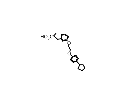 CC(Cc1cccc(OCCOc2ccc(C3CCCC3)cc2)c1)C(=O)O